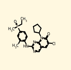 CCP(C)(=O)c1ccc(Nc2ncc3cc(Cl)c(=O)n(C4CCCC4)c3n2)c(C)c1